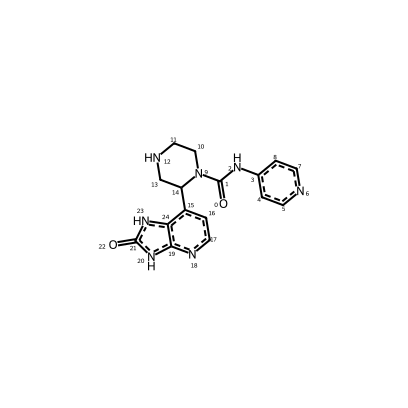 O=C(Nc1ccncc1)N1CCNCC1c1ccnc2[nH]c(=O)[nH]c12